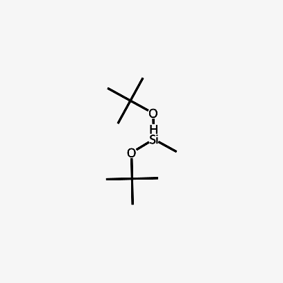 C[SiH](OC(C)(C)C)OC(C)(C)C